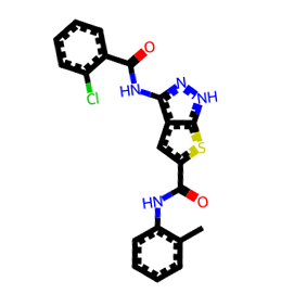 Cc1ccccc1NC(=O)c1cc2c(NC(=O)c3ccccc3Cl)n[nH]c2s1